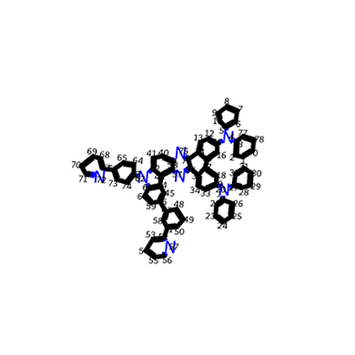 c1ccc(N(c2ccccc2)c2ccc3c(c2)c2cc(N(c4ccccc4)c4ccccc4)ccc2c2nc4c(ccc5c4c4cc(-c6cccc(-c7ccccn7)c6)ccc4n5-c4ccc(-c5ccccn5)cc4)nc32)cc1